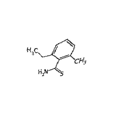 CCc1cccc(C)c1C(N)=S